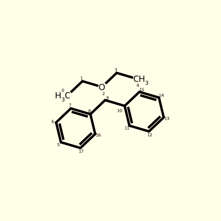 CCOCC.c1ccc(Cc2ccccc2)cc1